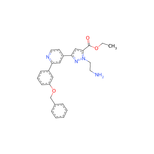 CCOC(=O)c1cc(-c2ccnc(-c3cccc(OCc4ccccc4)c3)c2)nn1CCN